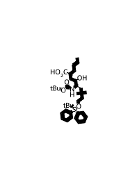 CC=CC[C@H](C[C@H](O)[C@H](CC(C)(C)CCO[Si](c1ccccc1)(c1ccccc1)C(C)(C)C)NC(=O)OC(C)(C)C)C(=O)O